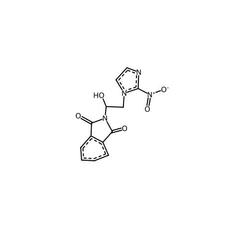 O=C1c2ccccc2C(=O)N1C(O)Cn1ccnc1[N+](=O)[O-]